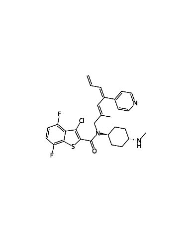 C=C/C=C(\C=C(/C)CN(C(=O)c1sc2c(F)ccc(F)c2c1Cl)[C@H]1CC[C@H](NC)CC1)c1ccncc1